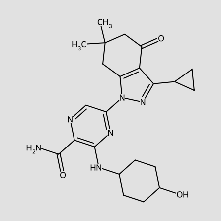 CC1(C)CC(=O)c2c(C3CC3)nn(-c3cnc(C(N)=O)c(NC4CCC(O)CC4)n3)c2C1